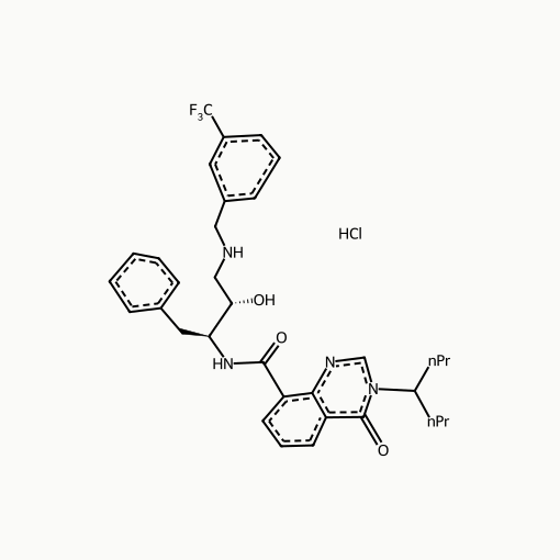 CCCC(CCC)n1cnc2c(C(=O)N[C@@H](Cc3ccccc3)[C@@H](O)CNCc3cccc(C(F)(F)F)c3)cccc2c1=O.Cl